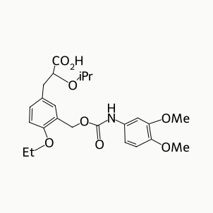 CCOc1ccc(CC(OC(C)C)C(=O)O)cc1COC(=O)Nc1ccc(OC)c(OC)c1